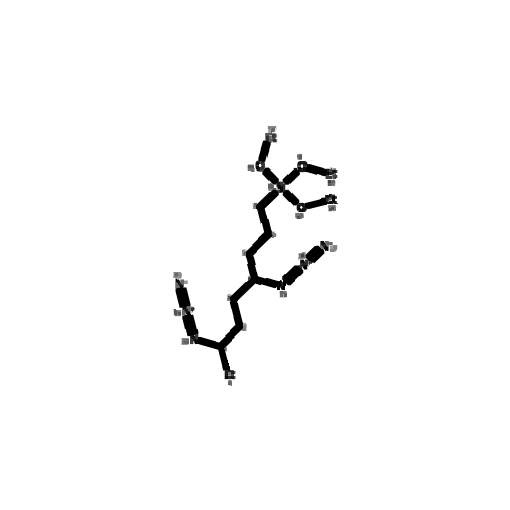 [CH2]CC(CCC(CCC[Si](OCC)(OCC)OCC)N=[N+]=[N-])N=[N+]=[N-]